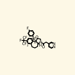 O=C(Cc1ccnnc1)N1CC[C@@]2(S(=O)(=O)c3ccc(F)cc3)c3ccc(C(F)(C(F)(F)F)C(F)(F)F)cc3CCC[C@@H]12